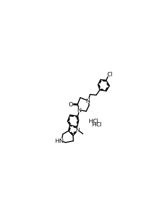 Cl.Cl.Cn1c2c(c3ccc(N4CCN(CCc5ccc(Cl)cc5)CC4=O)cc31)CNCC2